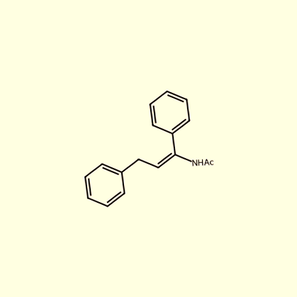 CC(=O)NC(=CCc1ccccc1)c1ccccc1